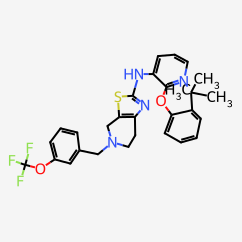 CC(C)(C)c1ccccc1Oc1ncccc1Nc1nc2c(s1)CN(Cc1cccc(OC(F)(F)F)c1)CC2